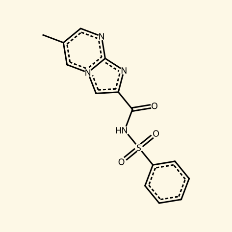 Cc1cnc2nc(C(=O)NS(=O)(=O)c3ccccc3)cn2c1